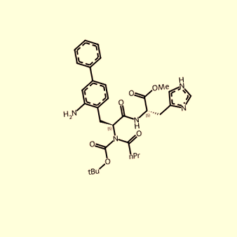 CCCC(=O)N(C(=O)OC(C)(C)C)[C@@H](Cc1ccc(-c2ccccc2)cc1N)C(=O)N[C@@H](Cc1c[nH]cn1)C(=O)OC